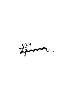 C=C(NC(=O)CCCCCCC/C=C\CCCCCCCC)N(C)CC(=O)O